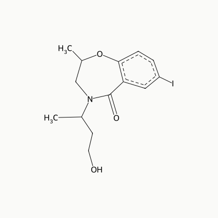 CC1CN(C(C)CCO)C(=O)c2cc(I)ccc2O1